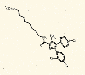 CCCCCCCCCCCCCCCCCCNC(=O)c1nn(-c2ccc(Cl)cc2Cl)c(-c2ccc(Cl)cc2)c1C